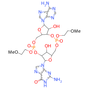 COCCOP1(=O)OCC2OC(n3cnc4c(=O)[nH]c(N)nc43)C(OP(=O)(OCCOC)OCC3OC(n4cnc5c(N)ncnc54)C(O)C3O1)C2O